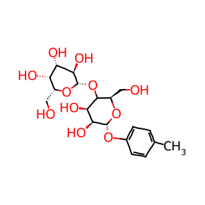 Cc1ccc(O[C@H]2O[C@H](CO)C(O[C@@H]3O[C@H](CO)[C@H](O)[C@H](O)[C@H]3O)[C@H](O)[C@@H]2O)cc1